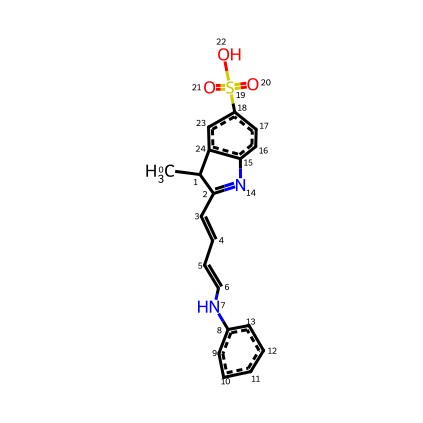 CC1C(C=CC=CNc2ccccc2)=Nc2ccc(S(=O)(=O)O)cc21